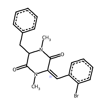 CN1C(=O)C(Cc2ccccc2)N(C)C(=O)/C1=C\c1ccccc1Br